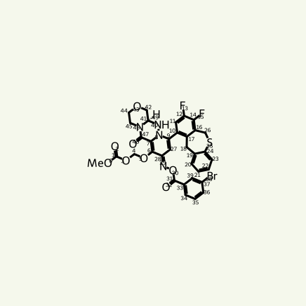 COC(=O)OCOc1c2n(c(-c3cc(F)c(F)c4c3Cc3ccccc3SC4)c/c1=N\OC(=O)c1cccc(Br)c1)N[C@@H]1COCCN1C2=O